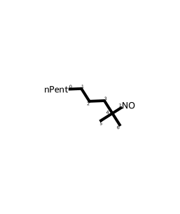 CCCCCCCCC(C)(C)N=O